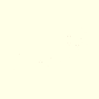 CC1(C)OB(C2=CCC(COCc3ccccc3)CC2)OC1(C)C